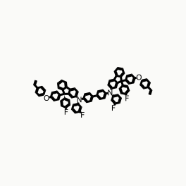 C=Cc1ccc(Oc2ccc(C3(c4ccc(F)cc4)c4ccccc4-c4ccc(N(c5ccc(-c6ccc(N(c7cccc(F)c7)c7ccc8c(c7)[C@@](c7ccc(F)cc7)(c7ccc(Oc9ccc(C=C)cc9)cc7)c7ccccc7-8)cc6)cc5)c5cccc(F)c5)cc43)cc2)cc1